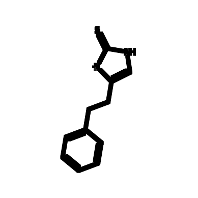 S=C1[N]C(CCc2ccccc2)=CN1